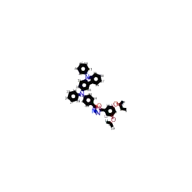 CCC(C)Oc1cc(OC(C)C)cc(-c2nnc(-c3ccc(N(c4ccccc4)c4ccc5c(c4)c4ccccc4n5-c4ccccc4)cc3)o2)c1